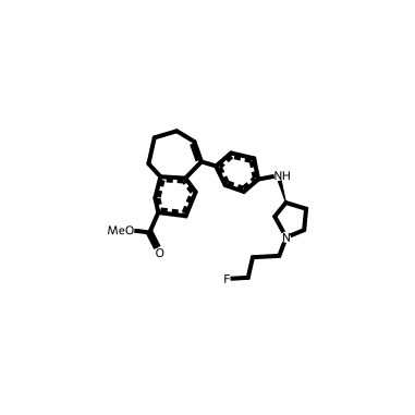 COC(=O)c1ccc2c(c1)CCCC=C2c1ccc(N[C@H]2CCN(CCCF)C2)cc1